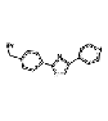 CC(C)Cc1ccc(-c2nc(-c3ccncc3)cs2)cc1